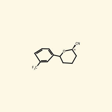 N#C[C@H]1CCCC(c2cccc(C(F)(F)F)c2)O1